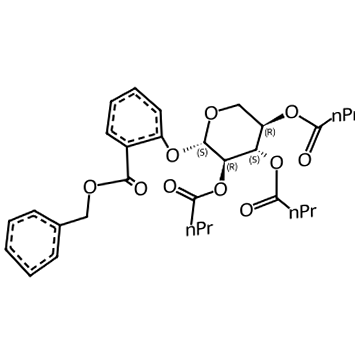 CCCC(=O)O[C@@H]1[C@@H](OC(=O)CCC)[C@H](Oc2ccccc2C(=O)OCc2ccccc2)OC[C@H]1OC(=O)CCC